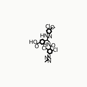 COc1cc2nc(C(CNC(=O)c3c(Cl)cc(-n4cnc(C)n4)cc3Cl)c3ccc(C(=O)O)cc3)[nH]c2cc1Cl